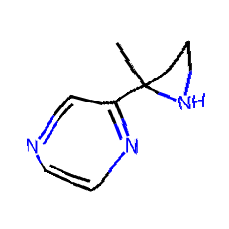 CC1(c2cnccn2)CN1